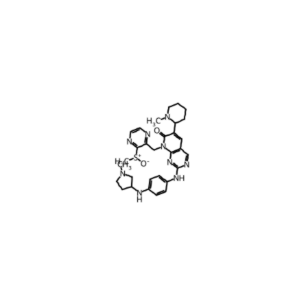 CN1CCC(Nc2ccc(Nc3ncc4cc(C5CCCCN5C)c(=O)n(Cc5nccnc5[S+](C)[O-])c4n3)cc2)C1